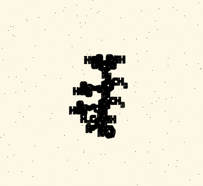 Cc1cc(N=Nc2cc(OCCCS(=O)(=O)O)c(N=Nc3c(C)c(C#N)c4nc5ccccc5n4c3O)cc2C)c(OCCCS(=O)(=O)O)cc1N=Nc1cc(S(=O)(=O)O)cc(S(=O)(=O)O)c1